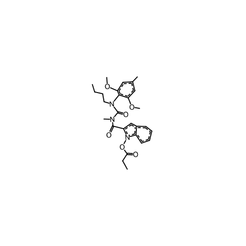 CCCCN(C(=O)N(C)C(=O)c1cc2ccccc2n1OC(=O)CC)c1c(OC)cc(C)cc1OC